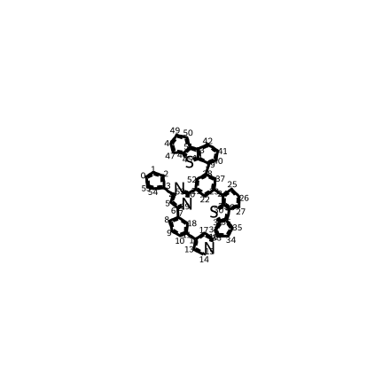 c1ccc(-c2cc(-c3cccc(-c4ccncc4)c3)nc(-c3cc(-c4cccc5c4sc4ccccc45)cc(-c4cccc5c4sc4ccccc45)c3)n2)cc1